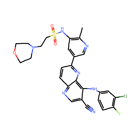 Cc1ncc(-c2ccc3ncc(C#N)c(Nc4ccc(F)c(Cl)c4)c3n2)cc1NS(=O)(=O)CCN1CCOCC1